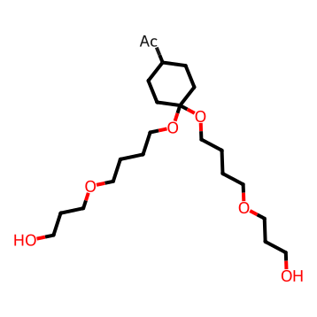 CC(=O)C1CCC(OCCCCOCCCO)(OCCCCOCCCO)CC1